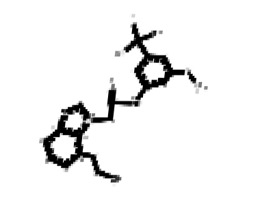 COc1cc(NC(=O)Cn2cnc3cccc(CCO)c32)cc(C(F)(F)F)c1